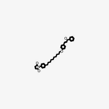 O=C(C=Cc1ccc(OCCCCCCCCCCc2ccc(N3C(=O)C=CC3=O)cc2)cc1)c1ccccc1